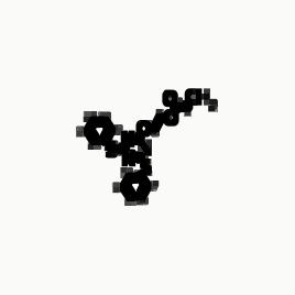 C=CC(=O)OCCOc1nc(Sc2ccccc2)nc(Sc2ccccc2)n1